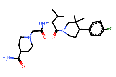 CC(C)[C@@H](NC(=O)CN1CCC(C(N)=O)CC1)C(=O)N1CCC(c2ccc(Cl)cc2)C(C)(C)C1